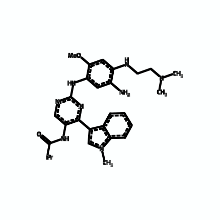 COc1cc(NCCN(C)C)c(N)cc1Nc1ncc(NC(=O)C(C)C)c(-c2cn(C)c3ccccc23)n1